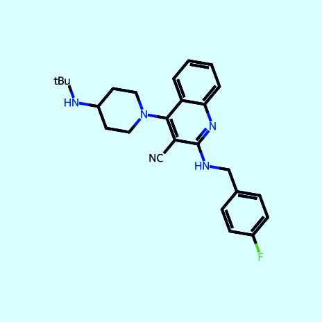 CC(C)(C)NC1CCN(c2c(C#N)c(NCc3ccc(F)cc3)nc3ccccc23)CC1